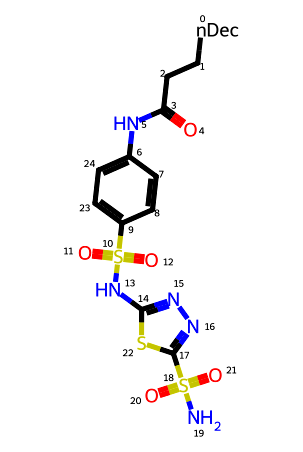 CCCCCCCCCCCCC(=O)Nc1ccc(S(=O)(=O)Nc2nnc(S(N)(=O)=O)s2)cc1